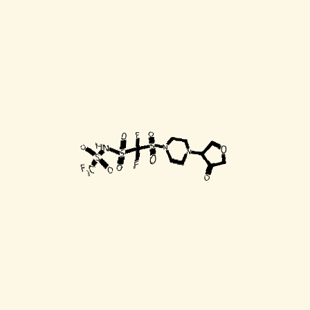 O=C1COCC1N1CCN(S(=O)(=O)C(F)(F)S(=O)(=O)NS(=O)(=O)C(F)(F)F)CC1